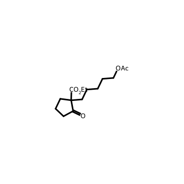 CCOC(=O)C1(CCCCCOC(C)=O)CCCC1=O